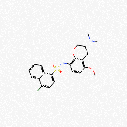 COc1ccc(NS(=O)(=O)c2ccc(Cl)c3ccccc23)c2c1C[C@@H](N(C)C)CO2